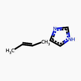 CC=CC.c1c[nH]cn1